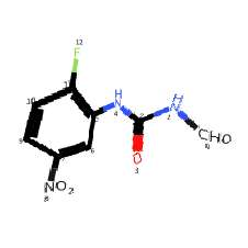 O=CNC(=O)Nc1cc([N+](=O)[O-])ccc1F